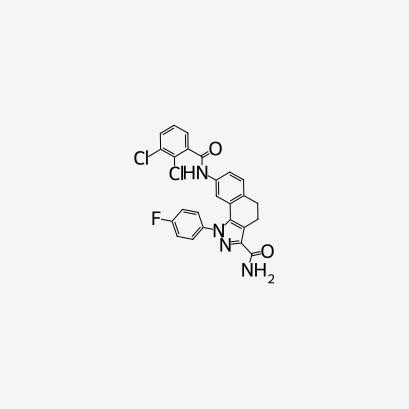 NC(=O)c1nn(-c2ccc(F)cc2)c2c1CCc1ccc(NC(=O)c3cccc(Cl)c3Cl)cc1-2